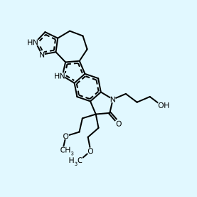 COCCC1(CCOC)C(=O)N(CCCO)c2cc3c4c([nH]c3cc21)-c1n[nH]cc1CCC4